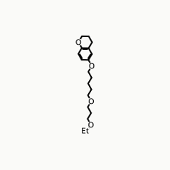 CCOCCCOCCCCCOc1ccc2c(c1)CCCO2